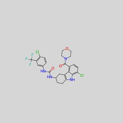 O=C(Nc1ccc(Cl)c(C(F)(F)F)c1)NC1CCc2[nH]c3c(Cl)ccc(C(=O)N4CCOCC4)c3c2C1